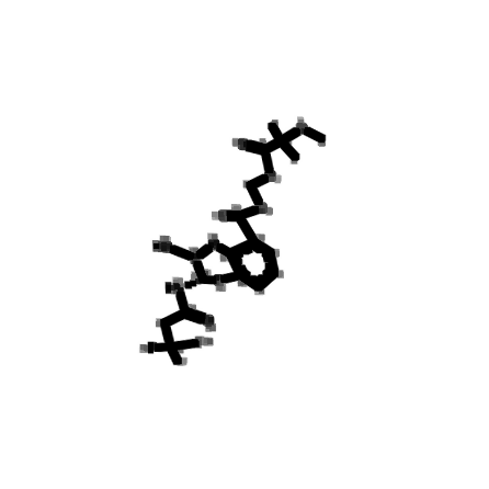 COC(C)(C)C(=O)OCOC(=O)c1cccc2c1OB(O)[C@@H](NC(=O)CC(C)(F)F)C2